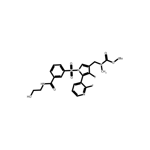 CN(Cc1cn(S(=O)(=O)c2cccc(C(=O)NCCO)c2)c(-c2cccnc2F)c1F)C(=O)OC(C)(C)C